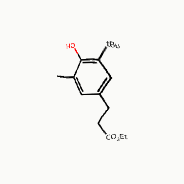 CCOC(=O)CCc1cc(C)c(O)c(C(C)(C)C)c1